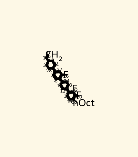 C=CC1CCC(c2ccc(-c3ccc(-c4ccc(CCCCCCCC)c(F)c4F)cc3)c(F)c2)CC1